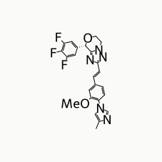 COc1cc(/C=C/c2nc3n(n2)CCO[C@H]3c2cc(F)c(F)c(F)c2)ccc1-n1cnc(C)c1